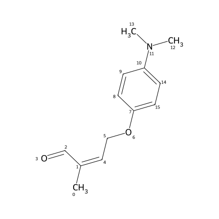 CC(C=O)=CCOc1ccc(N(C)C)cc1